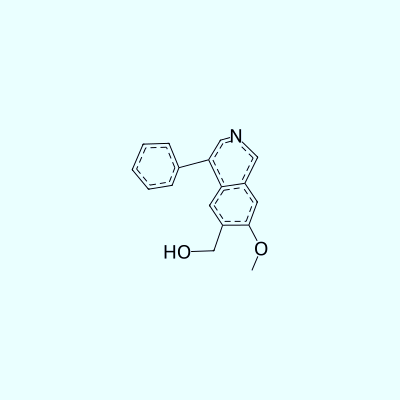 COc1cc2cncc(-c3ccccc3)c2cc1CO